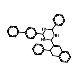 C1=C(C2NC(c3ccccc3)NC(c3ccc(-c4ccccc4)cc3)N2)C(c2ccccc2)Cc2ccccc21